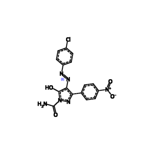 NC(=O)n1nc(-c2ccc([N+](=O)[O-])cc2)c(/N=N/c2ccc(Cl)cc2)c1O